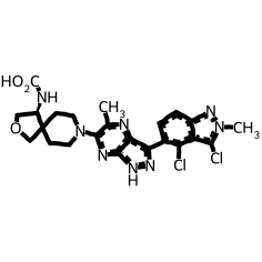 Cc1nc2c(-c3ccc4nn(C)c(Cl)c4c3Cl)n[nH]c2nc1N1CCC2(CC1)COC[C@H]2NC(=O)O